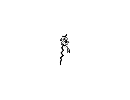 CCCCCCCCC(O[Si](OC)(OC)OC(C)C)SC#N